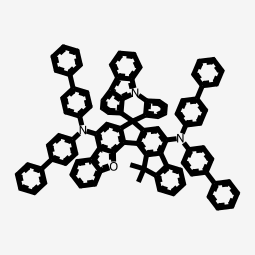 CC1(C)c2ccccc2-c2c(N(c3ccc(-c4ccccc4)cc3)c3ccc(-c4ccccc4)cc3)cc3c(c21)-c1c(cc(N(c2ccc(-c4ccccc4)cc2)c2ccc(-c4ccccc4)cc2)c2c1oc1ccccc12)C31c2ccccc2-n2c3ccccc3c3cccc1c32